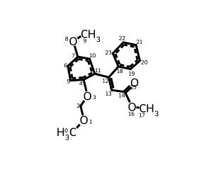 COCOc1ccc(OC)cc1/C(=C/C(=O)OC)c1ccccc1